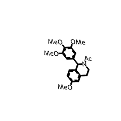 COc1ccc2c(c1)CCN(C(C)=O)C2c1cc(OC)c(OC)c(OC)c1